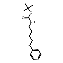 CC(C)(C)OC(=O)NCCCC[CH]c1ccccc1